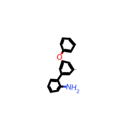 Nc1ccccc1-c1c[c]cc(Oc2ccccc2)c1